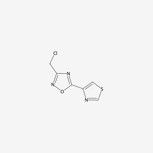 ClCc1noc(-c2cscn2)n1